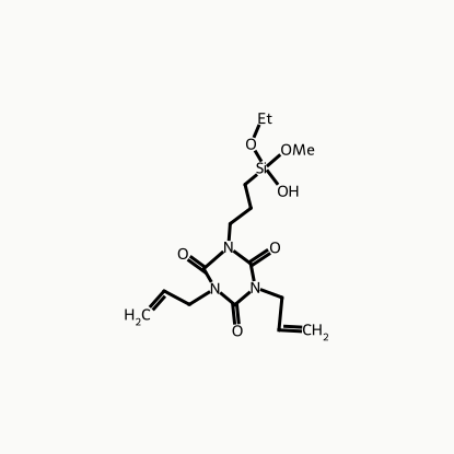 C=CCn1c(=O)n(CC=C)c(=O)n(CCC[Si](O)(OC)OCC)c1=O